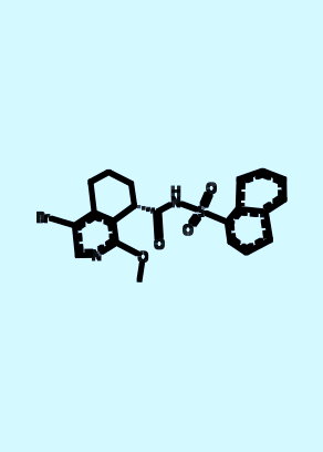 COc1ncc(Br)c2c1[C@@H](C(=O)NS(=O)(=O)c1cccc3ccccc13)CCC2